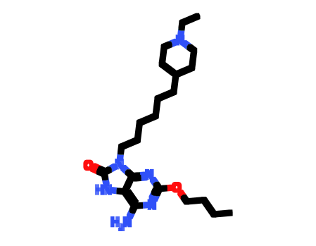 CCCCOc1nc(N)c2[nH]c(=O)n(CCCCCCC3CCN(CC)CC3)c2n1